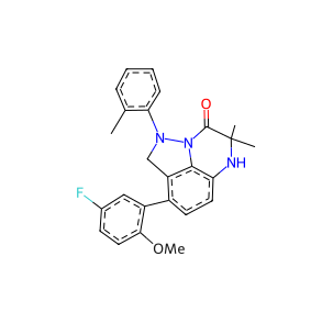 COc1ccc(F)cc1-c1ccc2c3c1CN(c1ccccc1C)N3C(=O)C(C)(C)N2